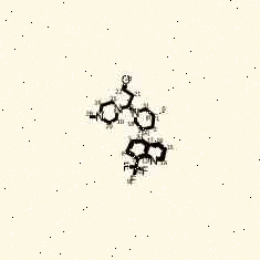 C[C@@H]1C[C@H](c2ccc(C(F)(F)F)c3ncccc23)CN(C(CC=O)N2CCN(C)CC2)C1